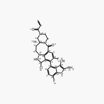 C=CC(=O)N1CCN2C(=O)c3cc(F)c(-c4ccc(F)c5sc(N)c(C#N)c45)c4c3N(CC[C@H]2C1)NC4Cl